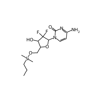 CCC[Si](C)(C)OCC1OC(n2ccc(N)nc2=O)C(F)(F)C1O